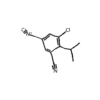 [C-]#[N+]c1cc(Cl)c(C(C)C)c(C#N)c1